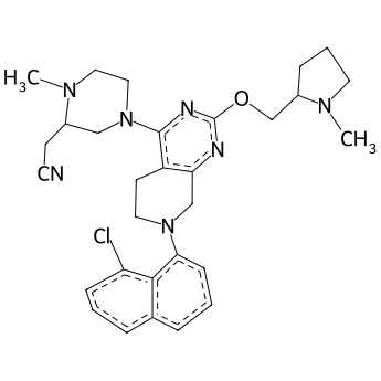 CN1CCCC1COc1nc2c(c(N3CCN(C)C(CC#N)C3)n1)CCN(c1cccc3cccc(Cl)c13)C2